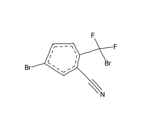 N#Cc1cc(Br)ccc1C(F)(F)Br